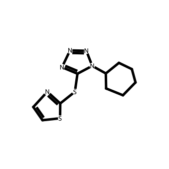 c1csc(Sc2nnnn2C2CCCCC2)n1